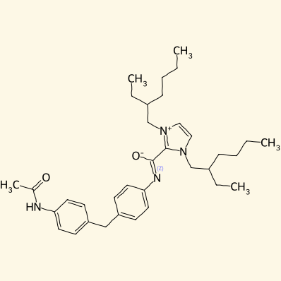 CCCCC(CC)Cn1cc[n+](CC(CC)CCCC)c1/C([O-])=N/c1ccc(Cc2ccc(NC(C)=O)cc2)cc1